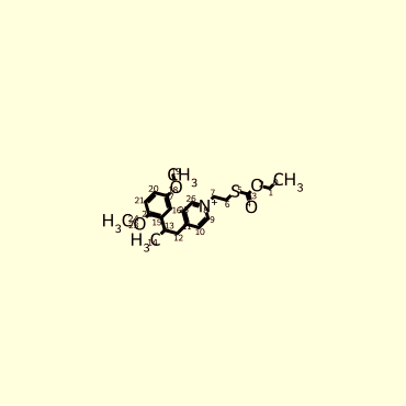 CCOC(=O)SCC[n+]1ccc(CC(C)c2cc(OC)ccc2OC)cc1